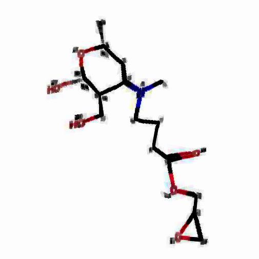 C[C@@H]1CC(N(C)CCCC(=O)OCC2CO2)[C@@H](CO)[C@H](O)O1